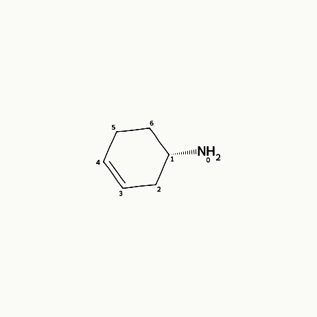 N[C@@H]1CC=CCC1